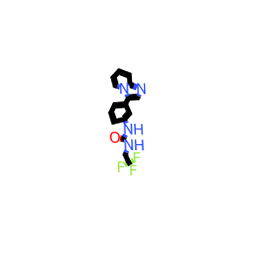 O=C(NCC(F)(F)F)Nc1cccc(-c2cnc3ccccn23)c1